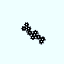 c1ccc(-c2ccc3c(oc4ccc(-c5c6ccccc6c(-c6ccc(-c7cccc8ccccc78)cc6)c6ccccc56)cc43)c2-c2ccccc2)cc1